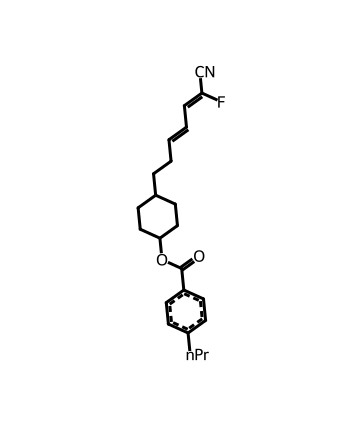 CCCc1ccc(C(=O)OC2CCC(CCC=CC=C(F)C#N)CC2)cc1